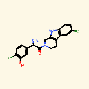 NC(C(=O)N1CCc2c([nH]c3ccc(Cl)cc23)C1)c1ccc(Cl)c(O)c1